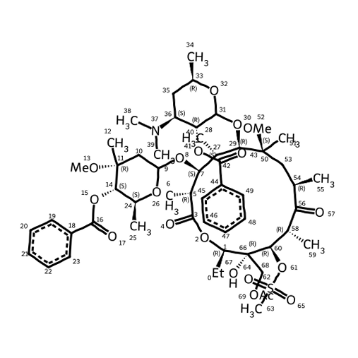 CC[C@H]1OC(=O)[C@H](C)[C@@H](OC2C[C@@](C)(OC)[C@@H](OC(=O)c3ccccc3)[C@H](C)O2)[C@H](C)[C@@H](OC2O[C@H](C)C[C@H](N(C)C)[C@H]2OC(=O)c2ccccc2)[C@@](C)(OC)C[C@@H](C)C(=O)[C@H](C)[C@@H](OS(C)(=O)=O)[C@@]1(O)COC(C)=O